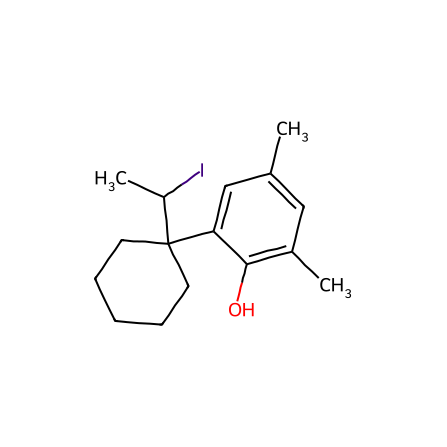 Cc1cc(C)c(O)c(C2(C(C)I)CCCCC2)c1